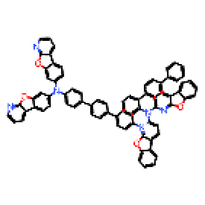 c1ccc(-c2ccc(-c3ccccc3N(c3ccc4c(n3)oc3ccccc34)c3ccc4c5ccccc5oc4[n+]3-c3ccc(-c4ccc(-c5ccc(N(c6ccc7c(c6)oc6ncccc67)c6ccc7c(c6)oc6ncccc67)cc5)cc4)cc3)cc2)cc1